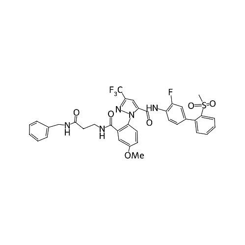 COc1ccc(-n2nc(C(F)(F)F)cc2C(=O)Nc2ccc(-c3ccccc3S(C)(=O)=O)cc2F)c(C(=O)NCCC(=O)NCc2ccccc2)c1